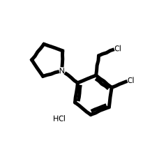 Cl.ClCc1c(Cl)cccc1N1CCCC1